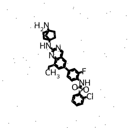 CCc1cc(-c2ccc(NS(=O)(=O)c3ccccc3Cl)c(F)c2)cc2cnc(NC34CCC(N)(CC3)C4)nc12